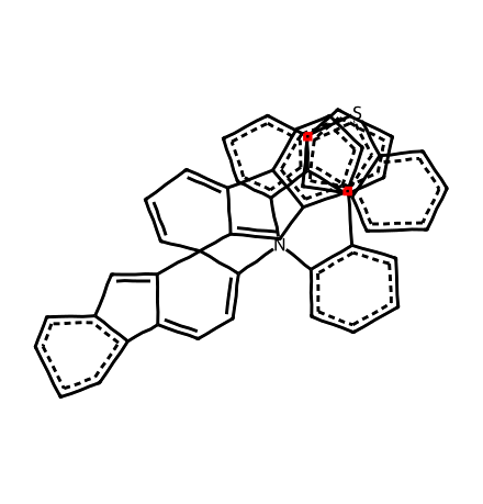 C1=CC2(C3=Cc4ccccc4C3=C1)C1=Cc3ccccc3C1=CC=C2N(c1ccccc1-c1ccccc1)c1cccc2sc3ccccc3c12